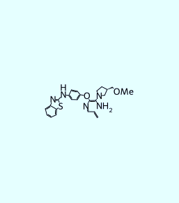 C=C/C=N\C(Oc1ccc(Nc2nc3ccccc3s2)cc1)=C(/N)N1CC[C@@H](COC)C1